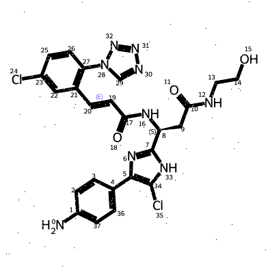 Nc1ccc(-c2nc([C@H](CC(=O)NCCO)NC(=O)/C=C/c3cc(Cl)ccc3-n3cnnn3)[nH]c2Cl)cc1